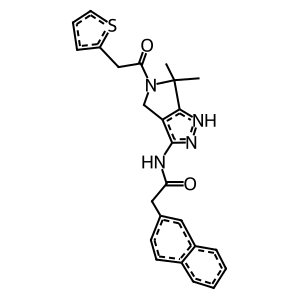 CC1(C)c2[nH]nc(NC(=O)Cc3ccc4ccccc4c3)c2CN1C(=O)Cc1cccs1